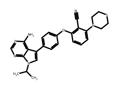 CC(C)n1cc(-c2ccc(Oc3cccc(N4CCSCC4)c3C#N)cc2)c2c(N)ncnc21